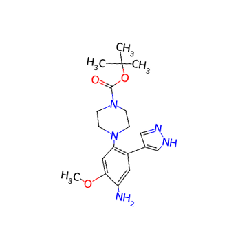 COc1cc(N2CCN(C(=O)OC(C)(C)C)CC2)c(-c2cn[nH]c2)cc1N